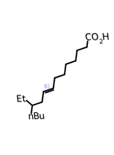 CCCCC(CC)C/C=C/CCCCCCC(=O)O